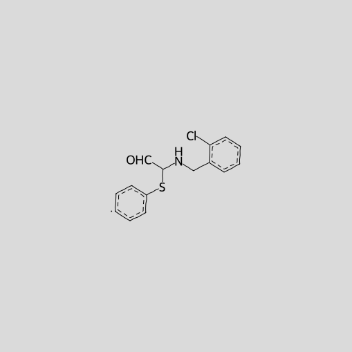 O=CC(NCc1ccccc1Cl)Sc1cc[c]cc1